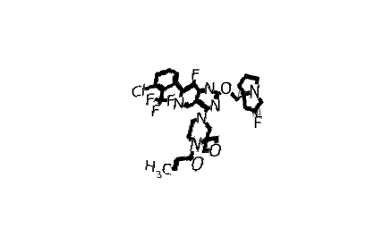 CC=CC(=O)N1CCN(c2nc(OC[C@@]34CCCN3C[C@H](F)C4)nc3c(F)c(-c4cccc(Cl)c4C(F)(F)F)ncc23)CC12COC2